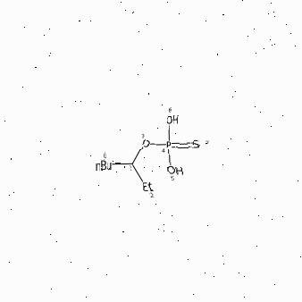 CCCCC(CC)OP(O)(O)=S